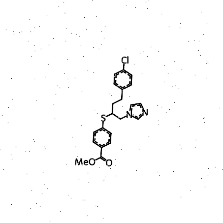 COC(=O)c1ccc(SC(CCc2ccc(Cl)cc2)Cn2ccnc2)cc1